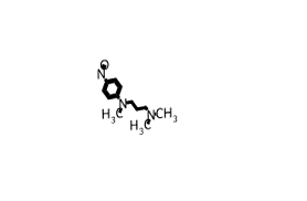 CN(C)CCCN(C)c1ccc(N=O)cc1